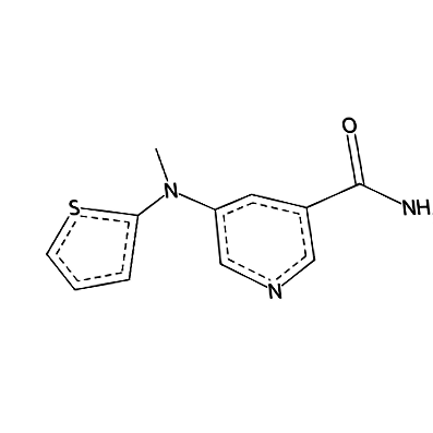 CN(c1cncc(C(N)=O)c1)c1cccs1